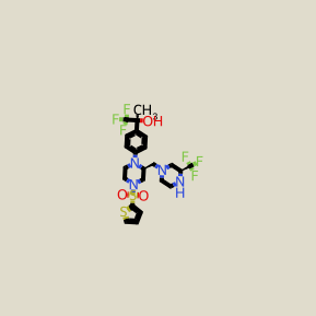 C[C@@](O)(c1ccc(N2CCN(S(=O)(=O)c3cccs3)C[C@@H]2CN2CCN[C@H](C(F)(F)F)C2)cc1)C(F)(F)F